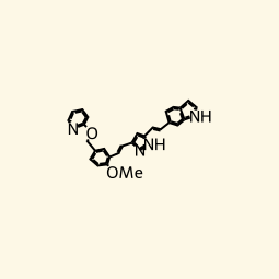 COc1ccc(COc2ccccn2)cc1/C=C/c1cc(/C=C/c2ccc3cc[nH]c3c2)[nH]n1